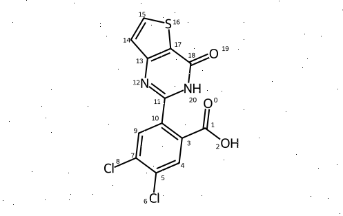 O=C(O)c1cc(Cl)c(Cl)cc1-c1nc2ccsc2c(=O)[nH]1